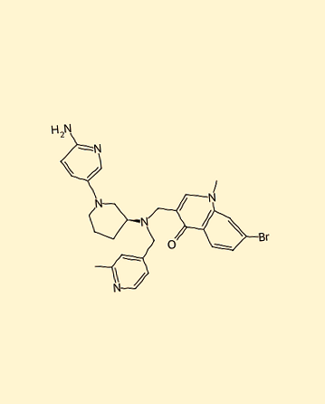 Cc1cc(CN(Cc2cn(C)c3cc(Br)ccc3c2=O)[C@H]2CCCN(c3ccc(N)nc3)C2)ccn1